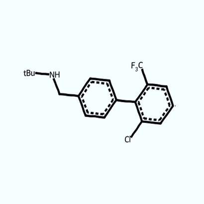 CC(C)(C)NCc1ccc(-c2c(Cl)c[c]cc2C(F)(F)F)cc1